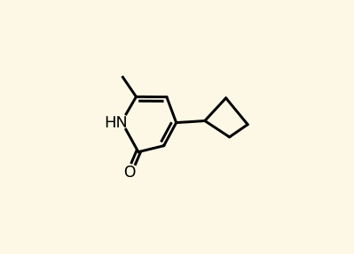 Cc1cc(C2CCC2)cc(=O)[nH]1